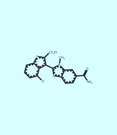 CCOC(=O)c1sc2cccc(Cl)c2c1-c1nc2ccc(C(N)=O)cc2n1C